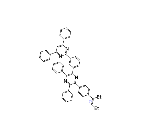 CC/C=C(\CC)c1ccc(-c2nc(-c3cccc(-c4nc(-c5ccccc5)cc(-c5ccccc5)n4)c3)c(-c3ccccc3)nc2-c2ccccc2)cc1